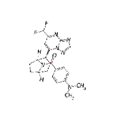 CN(C)c1ccc(C(=O)N2[C@H]3CC[C@H](c4cc(C(F)F)nc5ncnn45)[C@@H]2CC3)cc1